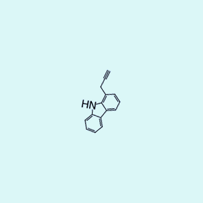 C#CCc1cccc2c1[nH]c1ccccc12